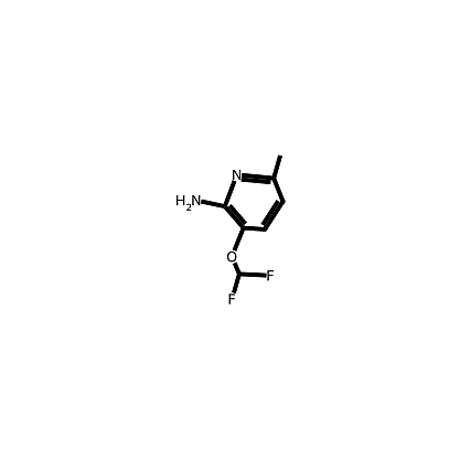 Cc1ccc(OC(F)F)c(N)n1